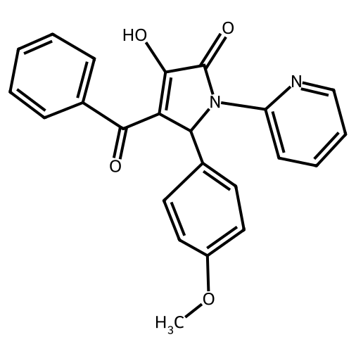 COc1ccc(C2C(C(=O)c3ccccc3)=C(O)C(=O)N2c2ccccn2)cc1